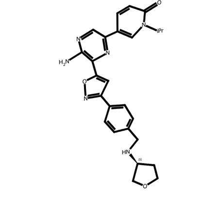 CC(C)n1cc(-c2cnc(N)c(-c3cc(-c4ccc(CN[C@H]5CCOC5)cc4)no3)n2)ccc1=O